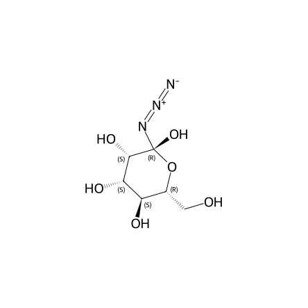 [N-]=[N+]=N[C@]1(O)O[C@H](CO)[C@@H](O)[C@H](O)[C@@H]1O